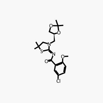 COc1ccc(Cl)cc1C(=O)/N=C1\SC(C)(C)CN1C[C@H]1COC(C)(C)O1